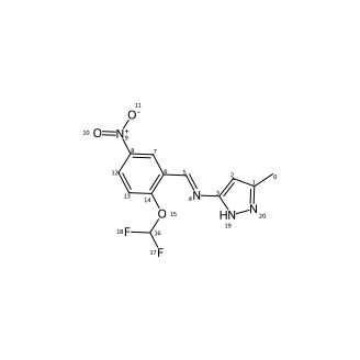 Cc1cc(N=Cc2cc([N+](=O)[O-])ccc2OC(F)F)[nH]n1